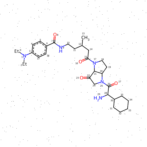 CCN(CC)c1ccc(C(=O)NCCC(C)CC(=O)N2CCC3C2C(=O)CN3C(=O)C(N)C2CCCCC2)cc1